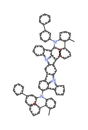 Cc1cccc(N(c2cccc(-c3ccccc3)c2)c2ccc3c4cc5c(cc4n4c6ccccc6c2c34)c2ccc(N(c3cccc(-c4ccccc4)c3)c3cccc(C)c3-c3ccccc3)c3c4ccccc4n5c23)c1-c1ccccc1